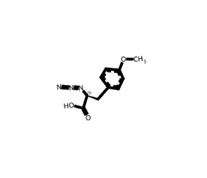 COc1ccc(C[C@H](N=[N+]=[N-])C(=O)O)cc1